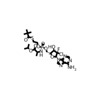 CC(C)OC(=O)C(C)NP(=O)(OCCSC(=O)C(C)(C)C)OC[C@H]1O[C@@H](n2cnc3c(N)ncnc32)[C@](F)(Cl)[C@@H]1O